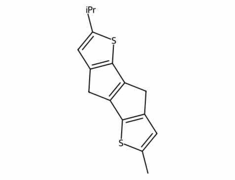 Cc1cc2c(s1)C1=C(C2)c2sc(C(C)C)cc2C1